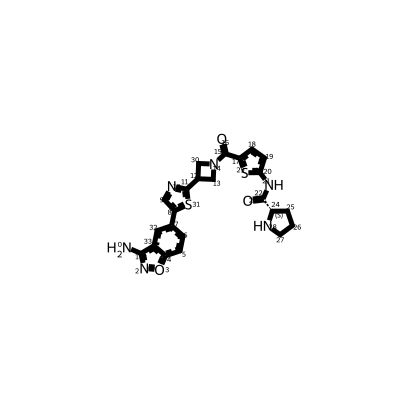 Nc1noc2ccc(-c3cnc(C4CN(C(=O)c5ccc(NC(=O)[C@@H]6CCCN6)s5)C4)s3)cc12